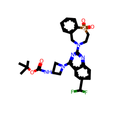 CC(C)(C)OC(=O)NC1CN(c2nc(N3CCS(=O)(=O)c4ccccc4C3)nc3ccc(C(F)F)cc23)C1